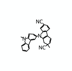 Cn1c2ccccc2c2cc(-n3c4c(c5ccc(C#N)cc53)C=CC(C)(C#N)C4)ccc21